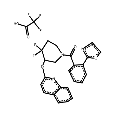 O=C(O)C(F)(F)F.O=C(c1ccccc1-c1ncco1)N1CCC(F)(F)C(Oc2ccc3ccccc3n2)C1